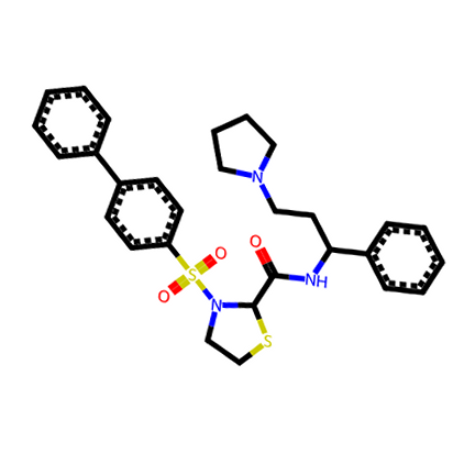 O=C(NC(CCN1CCCC1)c1ccccc1)C1SCCN1S(=O)(=O)c1ccc(-c2ccccc2)cc1